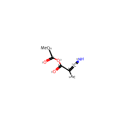 COC(=O)OC(=O)C(=C=N)C(C)=O